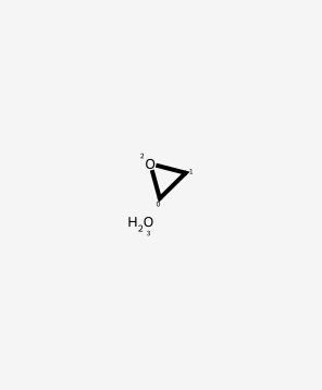 C1CO1.O